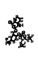 C[Si](C)(C)CCOP(=O)(OCC[Si](C)(C)C)Oc1ccc(C(F)(F)F)cc1COC(=O)Nc1cccnc1C=O